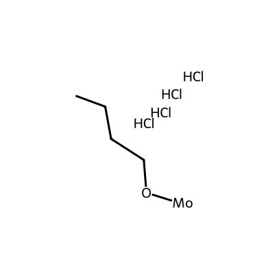 CCCC[O][Mo].Cl.Cl.Cl.Cl